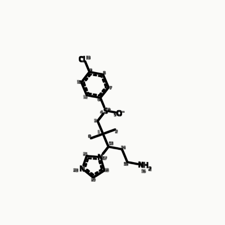 CC(C)(C[S+]([O-])c1ccc(Cl)cc1)C(CCN)n1ccnc1